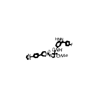 COC[C@@]1(C(=O)NC2C=c3c(-c4ccc(F)cc4)n[nH]c3=CC2)CCN(CC(=O)N2CC=C(c3ccc(-c4ncccn4)cc3)CC2)C1